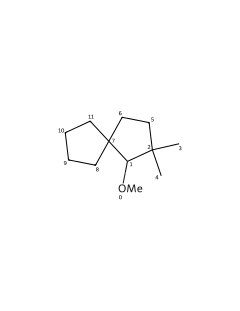 COC1C(C)(C)CCC12CCCC2